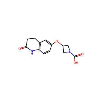 O=C1CCc2cc(OC3CN(C(=O)O)C3)ccc2N1